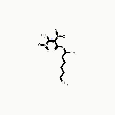 CCCCCCC(C)OC(=O)/C(=C(/C)[N+](=O)[O-])[N+](=O)[O-]